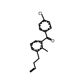 C=CCCc1cccc(C(=O)c2ccc(Cl)cc2)c1C